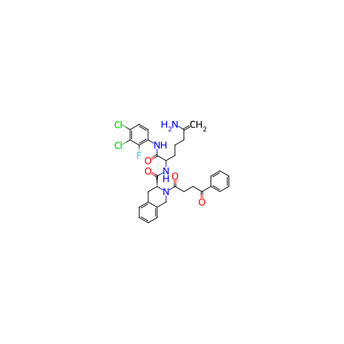 C=C(N)CCCC(NC(=O)[C@@H]1Cc2ccccc2CN1C(=O)CCC(=O)c1ccccc1)C(=O)Nc1ccc(Cl)c(Cl)c1F